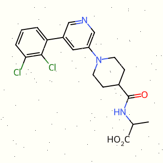 CC(NC(=O)C1CCN(c2cncc(-c3cccc(Cl)c3Cl)c2)CC1)C(=O)O